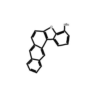 CCCCc1cccc2c1oc1ccc3cc4ccccc4cc3c12